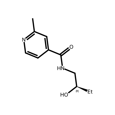 CC[C@@H](O)CNC(=O)c1ccnc(C)c1